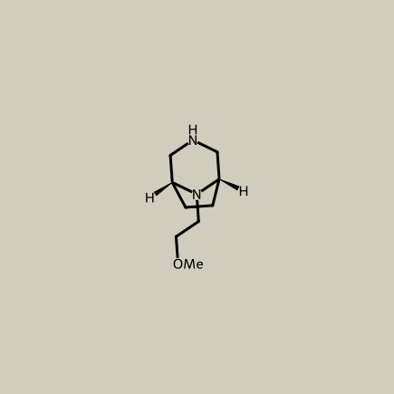 COCCN1[C@@H]2CC[C@H]1CNC2